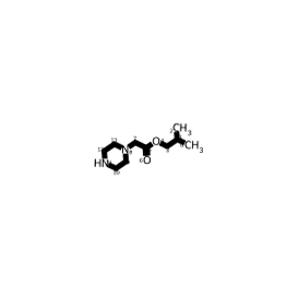 CC(C)COC(=O)[CH]N1CCNCC1